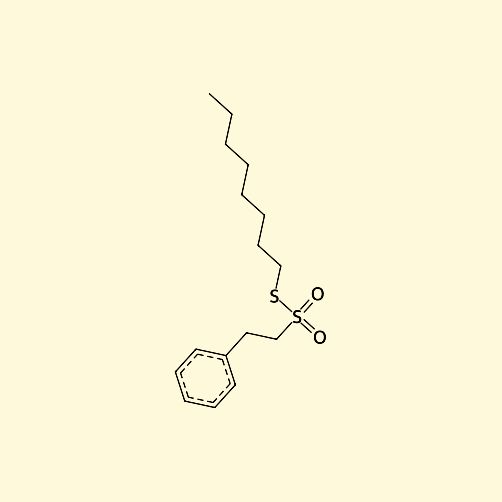 CCCCCCCCSS(=O)(=O)CCc1ccccc1